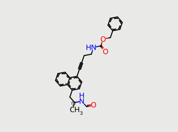 C[C@@H](Cc1ccc(C#CCCNC(=O)OCc2ccccc2)c2ccccc12)NC=O